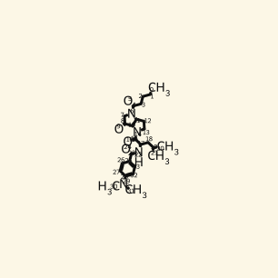 CCCCC(=O)N1CC(=O)C2C1CCN2C(=O)C(CC(C)C)NC(=O)c1ccc(N(C)C)cc1